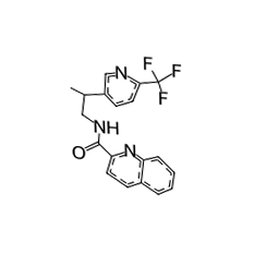 CC(CNC(=O)c1ccc2ccccc2n1)c1ccc(C(F)(F)F)nc1